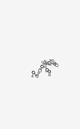 O=C(N[S+]([O-])c1cnc(NC[C@@H]2CCCCO2)c([N+](=O)[O-])c1)c1ccc(N2CCC3(CC2)CC(N2CCC[C@H]2c2ccccc2C2CC2)C3)cc1Oc1cnc2[nH]ccc2c1